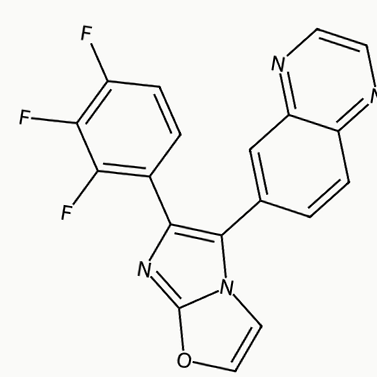 Fc1ccc(-c2nc3occn3c2-c2ccc3nccnc3c2)c(F)c1F